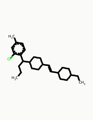 CCCC(c1ccc(C)cc1Cl)C1CCC(C=CC2CCC(CC)CC2)CC1